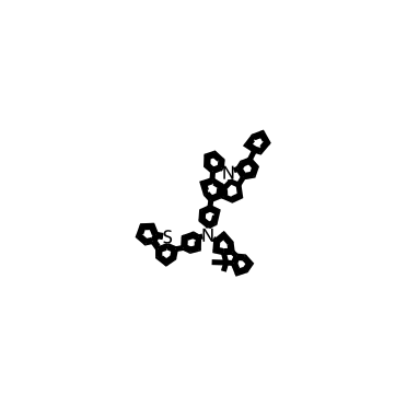 CC1(C)c2ccccc2-c2ccc(N(c3ccc(-c4ccc(-c5ccccc5N5c6cc(-c7ccccc7)ccc6C6C=CC=CC65)cc4)cc3)c3ccc(-c4cccc5c4sc4ccccc45)cc3)cc21